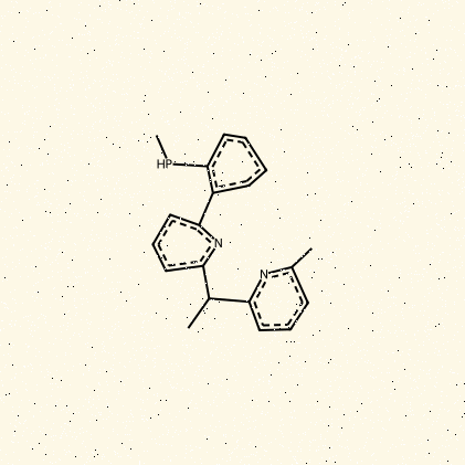 CPc1ccccc1-c1cccc(C(C)c2cccc(C)n2)n1